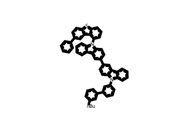 CCCCc1cccc(-c2cccc(-n3c4ccccc4c4cc(-c5ccc6c(c5)c5ccccc5n6-c5cccc6sc7ccc(-c8ccccc8)cc7c56)ccc43)c2)c1